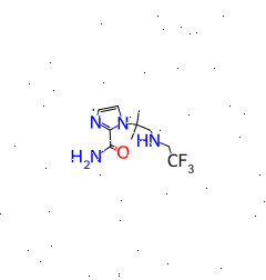 CC(C)(CNCC(F)(F)F)n1c[c]nc1C(N)=O